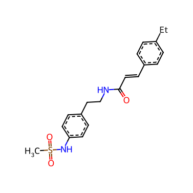 CCc1ccc(C=CC(=O)NCCc2ccc(NS(C)(=O)=O)cc2)cc1